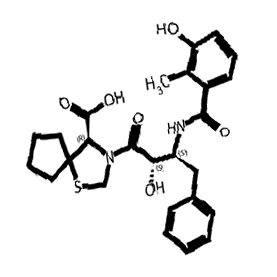 Cc1c(O)cccc1C(=O)N[C@@H](Cc1ccccc1)[C@H](O)C(=O)N1CSC2(CCCC2)[C@H]1C(=O)O